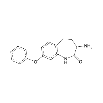 NC1CCc2ccc(Oc3ccccc3)cc2NC1=O